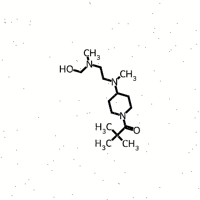 CN(CO)CCN(C)C1CCN(C(=O)C(C)(C)C)CC1